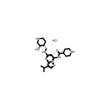 CC(C)c1cnn2c(NC(=O)C3CCNCC3)cc(NC[C@H]3CCNC[C@@H]3O)nc12.Cl